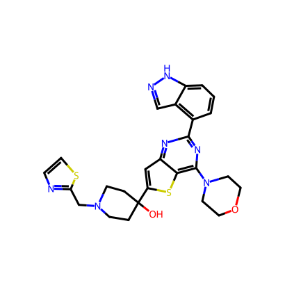 OC1(c2cc3nc(-c4cccc5[nH]ncc45)nc(N4CCOCC4)c3s2)CCN(Cc2nccs2)CC1